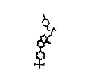 CN1CCN(CC2(Cn3nnc4ccc(-c5ccc(C(F)(F)F)nc5)cc4c3=O)CC2)CC1